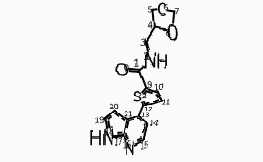 O=C(NCC1CCCO1)c1ccc(-c2ccnc3[nH]ccc23)s1